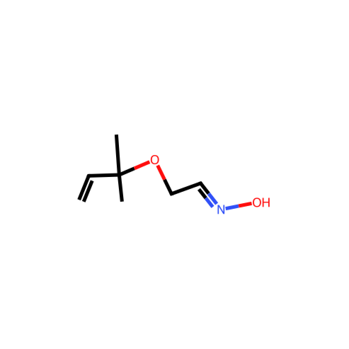 C=CC(C)(C)OCC=NO